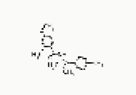 COc1ccc(C(=O)N[C@@H]2[C@@H](c3ccc(C)cc3)C2(C)C)c(C)c1